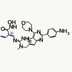 C=C/C(=C\N=C(/N)N(C)Cc1cc2nc(-c3ccc(N)cc3)nc(N3CCOCC3)c2s1)C(=O)NO